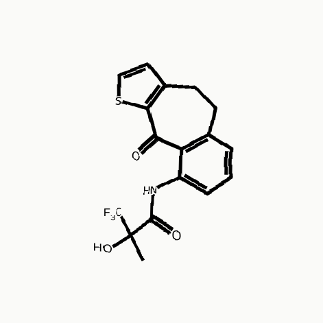 CC(O)(C(=O)Nc1cccc2c1C(=O)c1sccc1CC2)C(F)(F)F